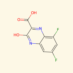 O=C(O)c1nc2c(F)cc(F)cc2nc1O